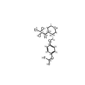 CCS(=O)(=O)N[C@H]1CCOC[C@@H]1COc1ccc(OC(F)F)cc1